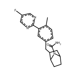 Cc1ccc(CC2CC3CCC2N3C(N)=O)cc1-c1ncc(F)cn1